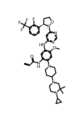 C=CC(=O)Nc1cc(Nc2cc(N3OCC[C@@H]3c3cccc(C(F)(F)F)c3F)ncn2)c(OC)cc1N1CCC(N2CCN(C3CC3)C(C)(C)C2)CC1